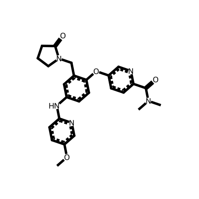 COc1ccc(Nc2ccc(Oc3ccc(C(=O)N(C)C)nc3)c(CN3CCCC3=O)c2)nc1